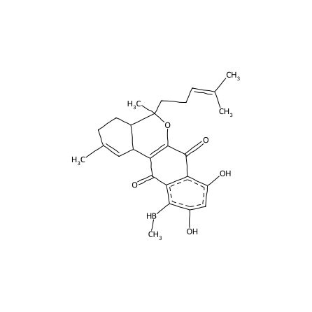 CBc1c(O)cc(O)c2c1C(=O)C1=C(OC(C)(CCC=C(C)C)C3CCC(C)=CC13)C2=O